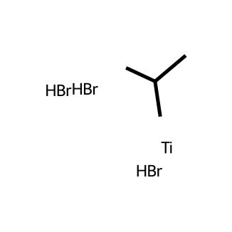 Br.Br.Br.CC(C)C.[Ti]